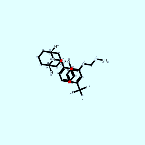 COCOc1cc(C(F)(F)F)ccc1O[C@H]1C[C@H]2CCC[C@@H](C1)N2Cc1ccccc1